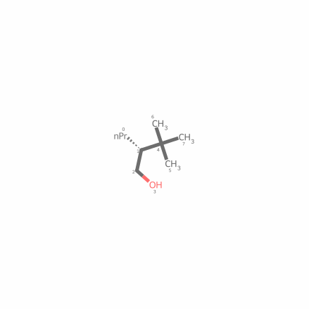 CCC[C@@H](CO)C(C)(C)C